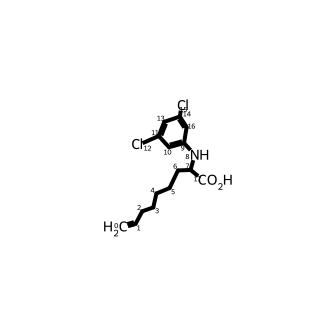 C=CCCCCCC(Nc1cc(Cl)cc(Cl)c1)C(=O)O